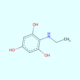 CCNc1c(O)cc(O)cc1O